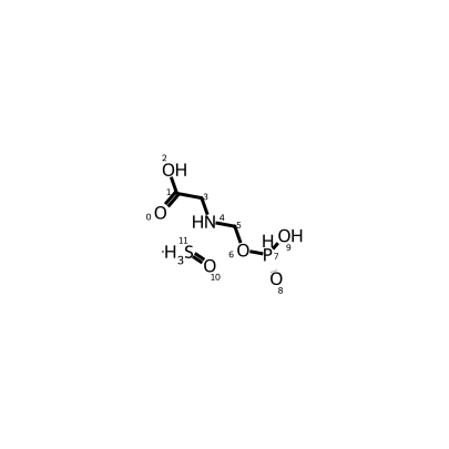 O=C(O)CNCO[PH](=O)O.O=[SH3]